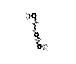 CN(C)c1cccc(C=NNC(=O)CCCNc2ccc(C(=O)NN=Cc3cccc(N(C)C)c3)cc2)c1